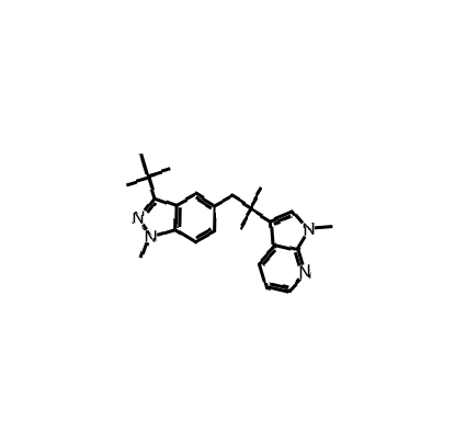 Cn1cc(C(C)(C)Cc2ccc3c(c2)c(C(C)(C)C)nn3C)c2cccnc21